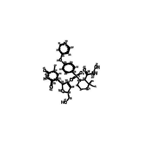 CC1(C)SCCN(S(=O)(=O)c2ccc(Oc3ccncc3)cc2)[C@H]1C(=O)NO.Cc1cn([C@H]2C=C[C@@H](CO)O2)c(=O)[nH]c1=O